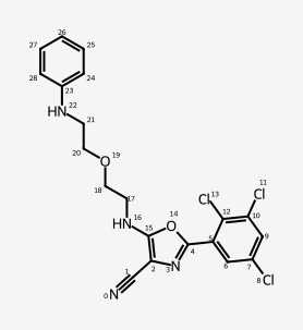 N#Cc1nc(-c2cc(Cl)cc(Cl)c2Cl)oc1NCCOCCNc1ccccc1